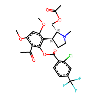 COc1cc(OC)c([C@@H]2CCN(C)[C@H]2COC(C)=O)c(OC(=O)c2ccc(C(F)(F)F)cc2Cl)c1C(C)=O